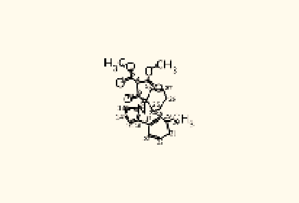 COC(=O)C(C(=O)OC)C(=O)C1(n2cccc2C2=CC(C)CC=C2)CCCCC1